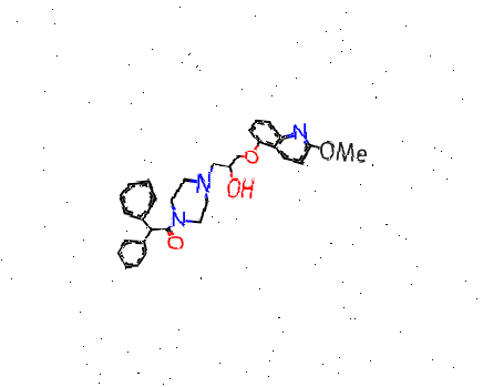 COc1ccc2c(OCC(O)CN3CCN(C(=O)C(c4ccccc4)c4ccccc4)CC3)cccc2n1